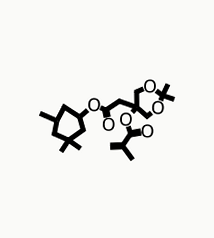 C=C(C)C(=O)OC1(CC(=O)OC2CC(C)CC(C)(C)C2)COC(C)(C)OC1